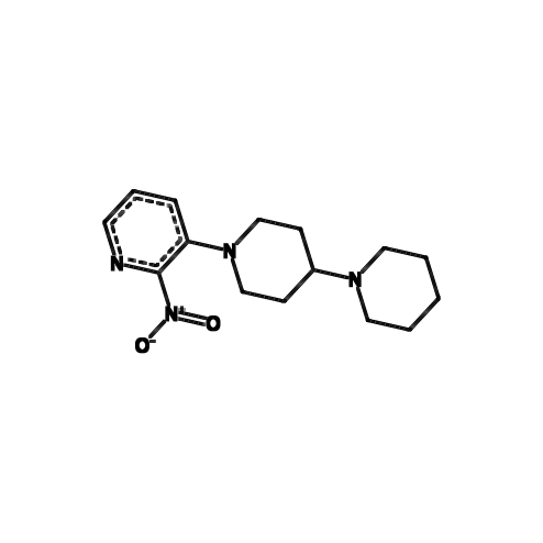 O=[N+]([O-])c1ncccc1N1CCC(N2CCCCC2)CC1